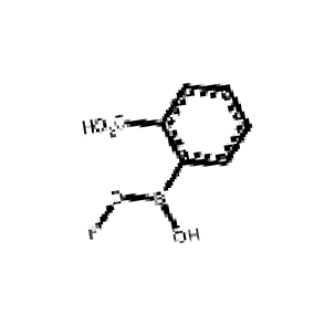 O=C(O)c1ccccc1B(O)OF